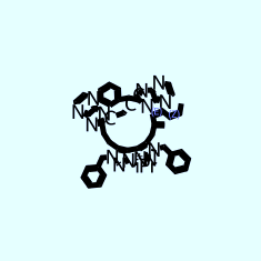 C=C1Cc2c(nnn2Cc2ccccc2)-c2c(n(Cc3ccccc3)n[n+]2C(C)C)CCC2N3CCCCN4c5nccnc5N(/C1=C/C=C\C)C4Cc1ccccc1N2c1nccnc13